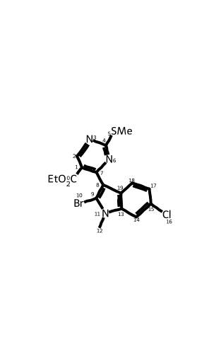 CCOC(=O)c1cnc(SC)nc1-c1c(Br)n(C)c2cc(Cl)ccc12